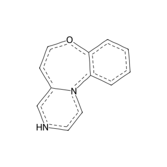 c1ccc2c(c1)occc1c[nH]ccn2-1